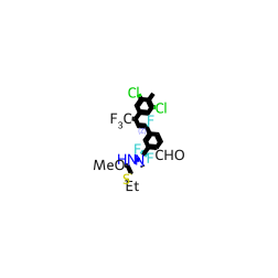 CCSCC(NN(C)C(F)(F)c1cc(/C(F)=C/C(c2cc(Cl)c(C)c(Cl)c2)C(F)(F)F)ccc1C=O)OC